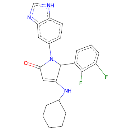 O=C1C=C(NC2CCCCC2)C(c2cccc(F)c2F)N1c1ccc2[nH]cnc2c1